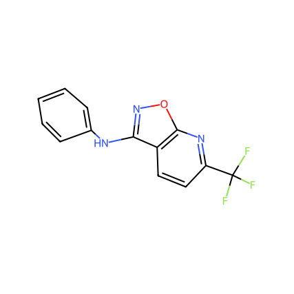 FC(F)(F)c1ccc2c(Nc3ccccc3)noc2n1